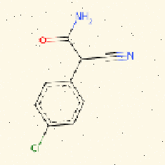 N#CC(C(N)=O)c1ccc(Cl)cc1